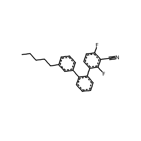 CCCCCc1cccc(-c2ccccc2-c2ccc(F)c(C#N)c2F)c1